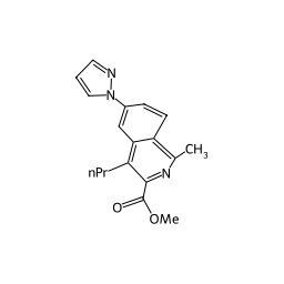 CCCc1c(C(=O)OC)nc(C)c2ccc(-n3cccn3)cc12